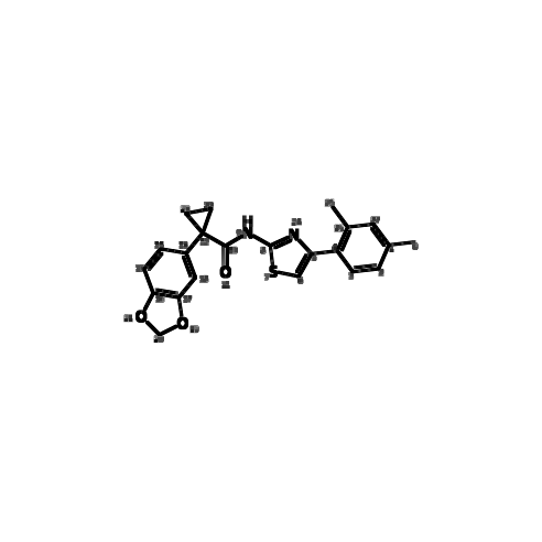 Cc1ccc(-c2csc(NC(=O)C3(c4ccc5c(c4)OCO5)CC3)n2)c(C)c1